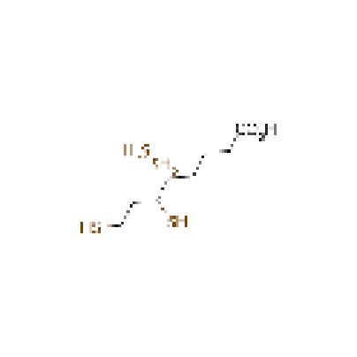 O=C(O)CCCCC(S)CCS.S.S